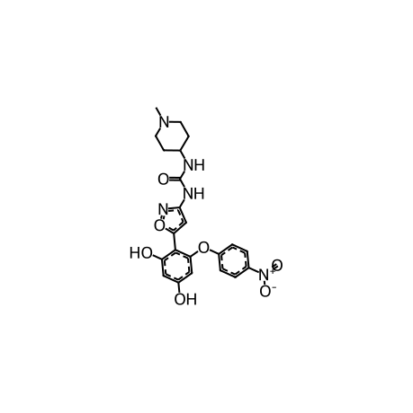 CN1CCC(NC(=O)Nc2cc(-c3c(O)cc(O)cc3Oc3ccc([N+](=O)[O-])cc3)on2)CC1